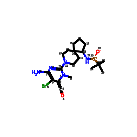 CN1C(=C=O)C(Br)=C(N)N=C1N1CCC2(CCC[C@H]2N[S@+]([O-])C(C)(C)C)CC1